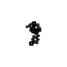 CC(C)[C@H]1CO[C@]23CCN(Cc4ccc(Cl)cc4)C[C@H]2CCC(=O)N13